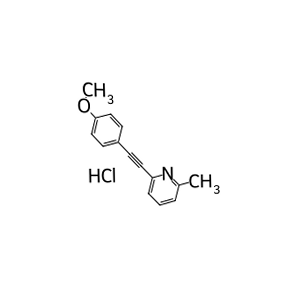 COc1ccc(C#Cc2cccc(C)n2)cc1.Cl